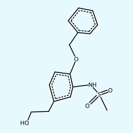 CS(=O)(=O)Nc1cc(CCO)ccc1OCc1ccccc1